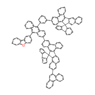 c1cc(-c2ccc3c4c(c5ccccc5c3c2)-c2cc3ccccc3cc2C42c3ccccc3-c3ccccc32)cc(-c2c3ccccc3c(-c3ccc4oc5ccccc5c4c3)c3cc(-c4ccc5c6c(c7ccccc7c5c4)-c4ccc5cc(-c7cc8ccccc8c8ccccc78)ccc5c4C64c5ccccc5-c5ccccc54)ccc23)c1